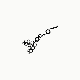 CCCCC[C@H]1CC[C@H](/C=C/COc2ccc(C3O[C@H](OC(=O)OC(C)C)[C@@H](OC(=O)OC(C)C)O3)cc2)CC1